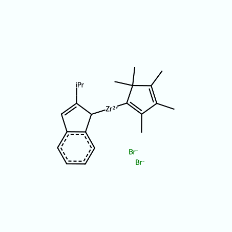 CC1=C(C)C(C)(C)[C]([Zr+2][CH]2C(C(C)C)=Cc3ccccc32)=C1C.[Br-].[Br-]